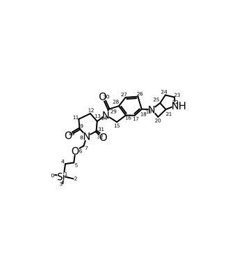 C[Si](C)(C)CCOCN1C(=O)CCC(N2Cc3cc(N4CC5NCCC54)ccc3C2=O)C1=O